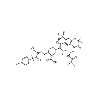 CC(C)N(C(=O)c1cc2c(cc1C(F)(F)F)OC(C)(C)C(=O)N2CCNC(=O)C(F)F)[C@@H]1CC[C@H](CCN(C(=O)C(C)(C)c2ccc(Cl)cc2)C2CC2)N(C(=O)O)C1